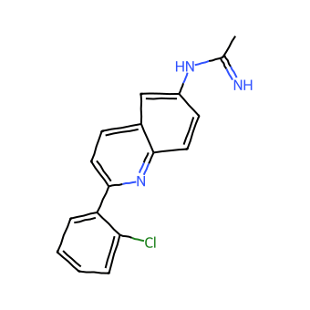 CC(=N)Nc1ccc2nc(-c3ccccc3Cl)ccc2c1